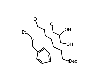 CCCCCCCCCCCCCCCCC[O].CCOCc1ccccc1.OCC(O)CO